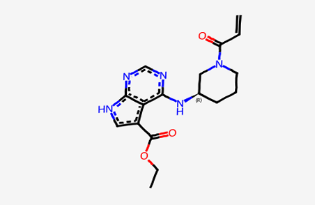 C=CC(=O)N1CCC[C@@H](Nc2ncnc3[nH]cc(C(=O)OCC)c23)C1